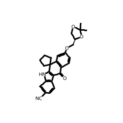 CC1(C)OC[C@H](COc2ccc3c(c2)C2(CCCC2)c2[nH]c4cc(C#N)ccc4c2C3=O)O1